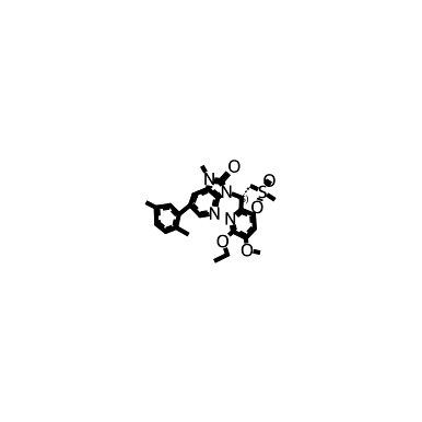 CCOc1nc([C@@H](CS(C)(=O)=O)n2c(=O)n(C)c3cc(-c4cc(C)ccc4C)cnc32)ccc1OC